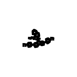 C=CCOc1c([Si](C)(C)C2c3cc(-c4ccc(CC)cc4)ccc3-c3ccc(-c4ccc(CC)cc4)cc32)ccc2ccccc12